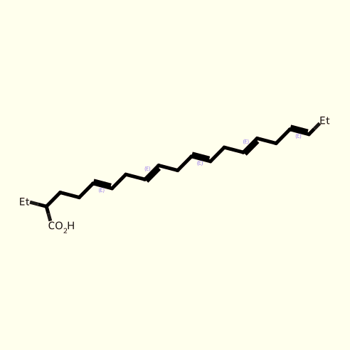 CC/C=C/C/C=C/C/C=C/C/C=C/C/C=C/CCC(CC)C(=O)O